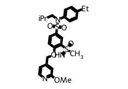 CCc1ccc(N(CC(C)C)S(=O)(=O)c2ccc(OCc3ccnc(OC)c3)c(S(C)(=N)=O)c2)cc1